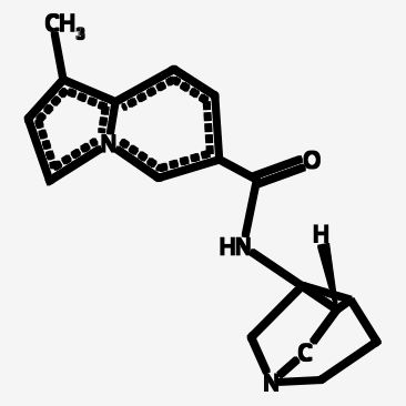 Cc1ccn2cc(C(=O)N[C@H]3CN4CCC3CC4)ccc12